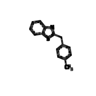 FC(F)(F)c1ccc(Cc2nc3ccccc3s2)cc1